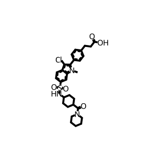 Cn1c(-c2ccc(CCC(=O)O)cc2)c(Cl)c2ccc(S(=O)(=O)NC3CCC(C(=O)N4CCCCC4)CC3)cc21